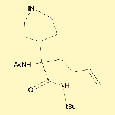 C=CCCC(NC(C)=O)(C(=O)NC(C)(C)C)C1CCNCC1